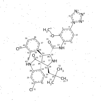 COc1cc(-n2cnnn2)ccc1NC(=O)[C@@H]1N[C@@H](CC(C)(C)C)[C@@]2(C(=O)Nc3cc(Cl)ccc32)[C@H]1c1cccc(Cl)c1F